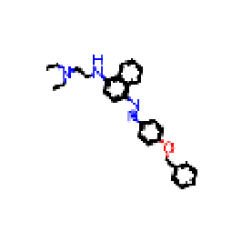 CCN(CC)CCNc1ccc(/N=N/c2ccc(OCc3ccccc3)cc2)c2ccccc12